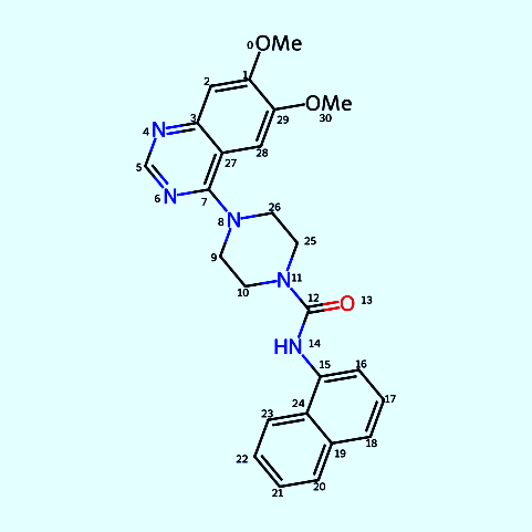 COc1cc2ncnc(N3CCN(C(=O)Nc4cccc5ccccc45)CC3)c2cc1OC